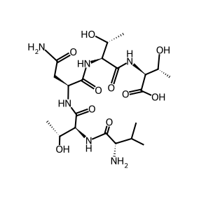 CC(C)[C@H](N)C(=O)N[C@H](C(=O)N[C@@H](CC(N)=O)C(=O)N[C@H](C(=O)N[C@H](C(=O)O)[C@@H](C)O)[C@@H](C)O)[C@@H](C)O